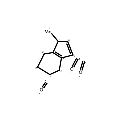 [C]=O.[C]=O.[C]=O.[Mn][CH]1C=CC2=C1CCCC2